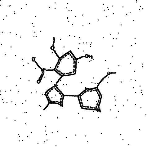 COc1cncc(-c2nc(C)cn2-c2cc(O)cc(OC)c2[N+](=O)[O-])c1